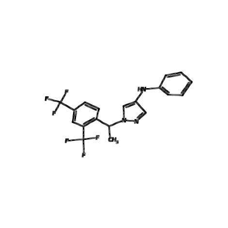 CC(c1ccc(C(F)(F)F)cc1C(F)(F)F)n1cc(Nc2ccccc2)cn1